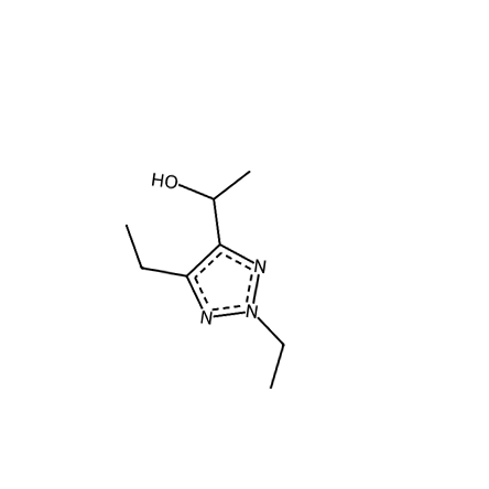 CCc1nn(CC)nc1C(C)O